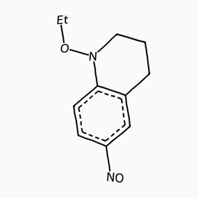 CCON1CCCc2cc(N=O)ccc21